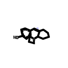 Oc1ccc(/C=C2/CCCCC2N2CCC2)cc1